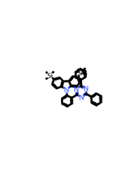 C[Si](C)(C)c1ccc2c(c1)c1cc([Si](C)(C)C)ccc1n2-c1ccccc1-c1nc(-c2ccccc2)nc(-c2ccccc2)n1